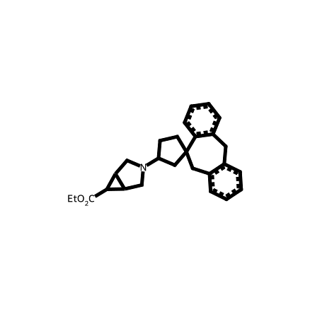 CCOC(=O)C1C2CN(C3CCC4(Cc5ccccc5Cc5ccccc54)C3)CC21